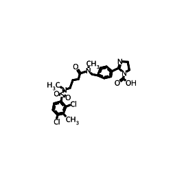 Cc1c(Cl)ccc(S(=O)(=O)N(C)CCCC(=O)N(C)Cc2ccc(C3=NCCN3C(=O)O)cc2)c1Cl